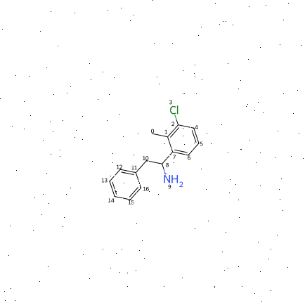 Cc1c(Cl)cccc1C(N)Cc1ccccc1